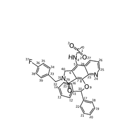 CS(=O)(=O)Nc1c2c(c(OC(c3ccccc3)c3ccccc3)c3ncccc13)C(=O)N(Cc1ccc(F)cc1)C2